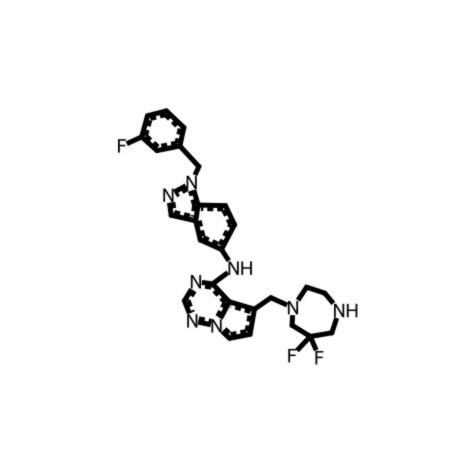 Fc1cccc(Cn2ncc3cc(Nc4ncnn5ccc(CN6CCNCC(F)(F)C6)c45)ccc32)c1